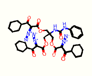 [N-]=[N+]=C(C(=O)OCC(COC(=O)C(=[N+]=[N-])C(=O)C1CCCCC1)(COC(=O)C(=[N+]=[N-])C(=O)C1CCCCC1)NC(=O)Nc1ccccc1)C(=O)C1CCCCC1